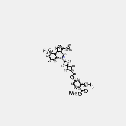 COC(=O)c1ncc(OCC2CC3(CC(/C=C/c4c(-c5ccccc5C(F)(F)F)noc4C4CC4)C3)C2)cc1C